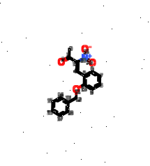 CC(=O)C(=Cc1ccccc1OCc1ccccc1)[N+](=O)[O-]